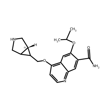 CC(C)Oc1cc2c(OCC3C4CNC[C@@H]43)ccnc2cc1C(N)=O